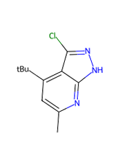 Cc1cc(C(C)(C)C)c2c(Cl)n[nH]c2n1